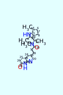 Cc1[nH]c2c(C)cccc2c1C(C)N(C)C(=O)C=Cc1cnc2c(c1)CCC(=O)N2